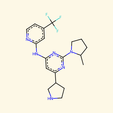 CC1CCCN1c1nc(Nc2cc(C(F)(F)F)ccn2)cc(C2CCNC2)n1